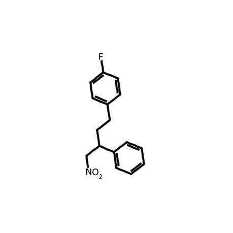 O=[N+]([O-])CC(CCc1ccc(F)cc1)c1ccccc1